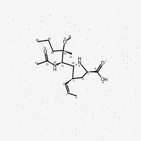 C/C=C\[C@@H]1C[C@H](C(=O)O)N[C@H]1[C@@H](NC(C)=O)[C@](C)(CCC)OC